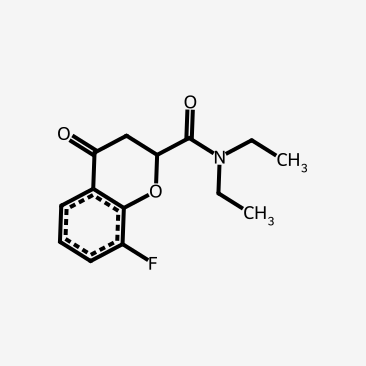 CCN(CC)C(=O)C1CC(=O)c2cccc(F)c2O1